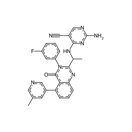 Cc1cncc(-c2cccc3nc(C(C)Nc4nc(N)ncc4C#N)n(-c4cccc(F)c4)c(=O)c23)c1